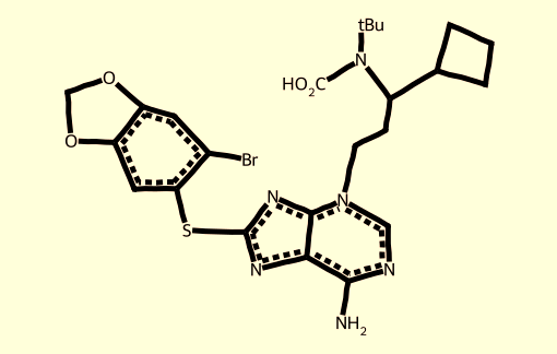 CC(C)(C)N(C(=O)O)C(CCn1cnc(N)c2nc(Sc3cc4c(cc3Br)OCO4)nc1-2)C1CCC1